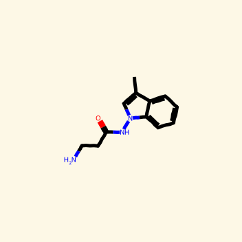 Cc1cn(NC(=O)CCN)c2ccccc12